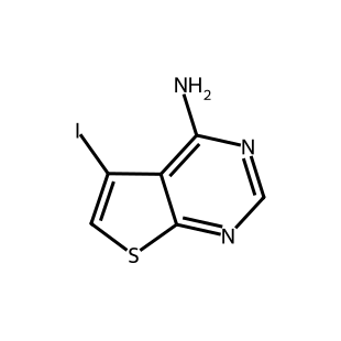 Nc1ncnc2scc(I)c12